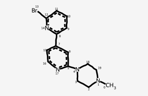 CN1CCN(c2cc(-c3cccc(Br)n3)ccn2)CC1